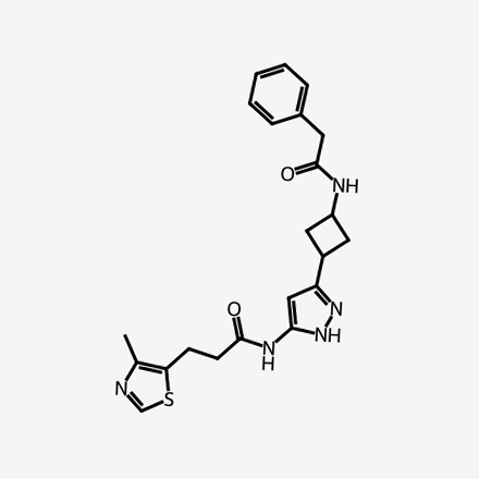 Cc1ncsc1CCC(=O)Nc1cc(C2CC(NC(=O)Cc3ccccc3)C2)n[nH]1